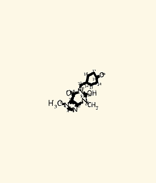 CN1c2ncn(C)c2C(=O)N(CC2CCC(=O)CC2)C1O